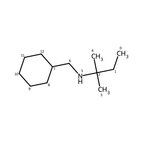 CCC(C)(C)NCC1CCCCC1